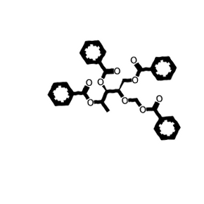 CC(OC(=O)c1ccccc1)[C@@H](OC(=O)c1ccccc1)[C@@H](COC(=O)c1ccccc1)OCOC(=O)c1ccccc1